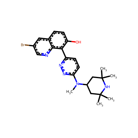 CN(c1ccc(-c2c(O)ccc3cc(Br)cnc23)nn1)C1CC(C)(C)NC(C)(C)C1